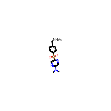 CC(=O)NCc1ccc(S(=O)(=O)c2cnc(N(C)C)cn2)cc1